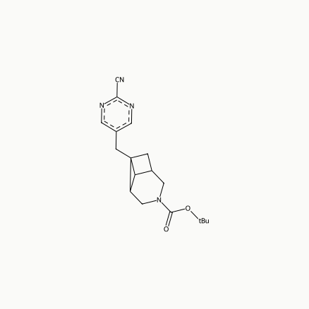 CC(C)(C)OC(=O)N1CC2CC3(Cc4cnc(C#N)nc4)C(C1)C23